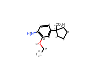 Nc1ccc(C2(C(=O)O)CCCC2)cc1OCC(F)(F)F